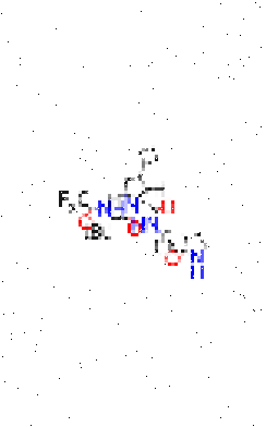 CC(C)(C)[C@H](NC(=O)C(F)(F)F)C(=O)N1[C@@H]2CC(C3CCC3)[C@@H](C2)[C@H]1C(=O)N[C@H](C#N)C[C@@H]1CCNC1=O